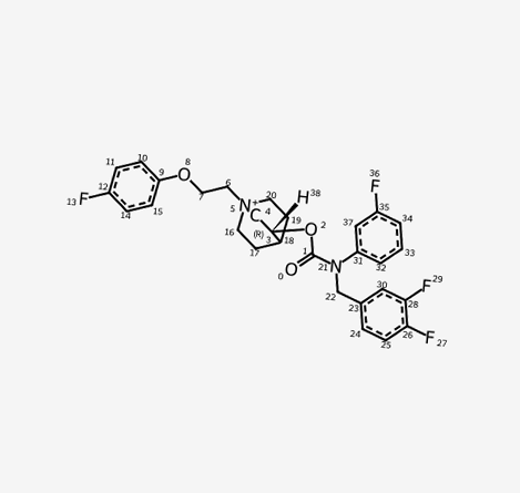 O=C(O[C@H]1C[N+]2(CCOc3ccc(F)cc3)CCC1CC2)N(Cc1ccc(F)c(F)c1)c1cccc(F)c1